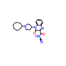 N#CNC(=O)c1nc2ccccc2n(C2CCN(C3CCCCCCC3)CC2)c1=O